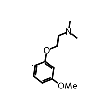 COc1cc[c]c(OCCN(C)C)c1